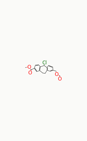 COC(=O)c1ccc2c(c1)CCc1cc(COC=O)ccc1C2Cl